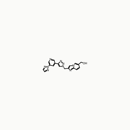 OCc1ccc2nc(Cn3cc(-c4cncc(-n5nccn5)c4)nn3)cn2c1